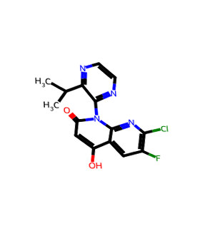 CC(C)c1nccnc1-n1c(=O)cc(O)c2cc(F)c(Cl)nc21